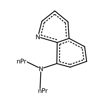 CCCN(CCC)c1cccc2cccnc12